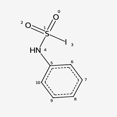 O=S(=O)(I)Nc1ccccc1